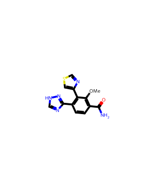 COc1c(C(N)=O)ccc(-c2nc[nH]n2)c1-c1cscn1